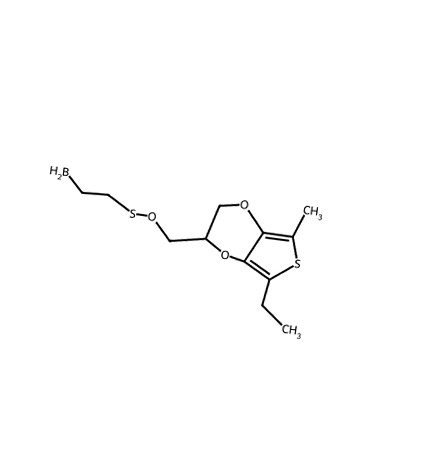 BCCSOCC1COc2c(C)sc(CC)c2O1